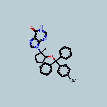 COc1ccc(C(OC2CCC[C@]2(C)n2cnc3c(=O)[nH]cnc32)(c2ccccc2)c2ccccc2)cc1